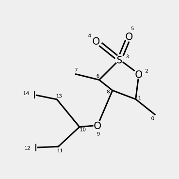 CC1OS(=O)(=O)C(C)C1OC(CI)CI